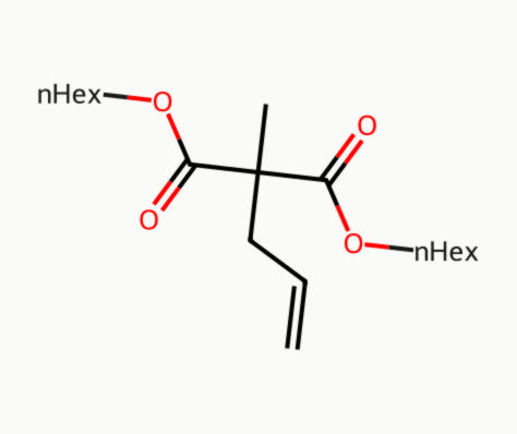 C=CCC(C)(C(=O)OCCCCCC)C(=O)OCCCCCC